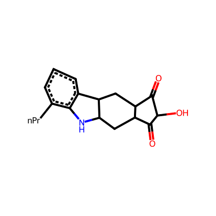 CCCc1cccc2c1NC1CC3C(=O)C(O)C(=O)C3CC21